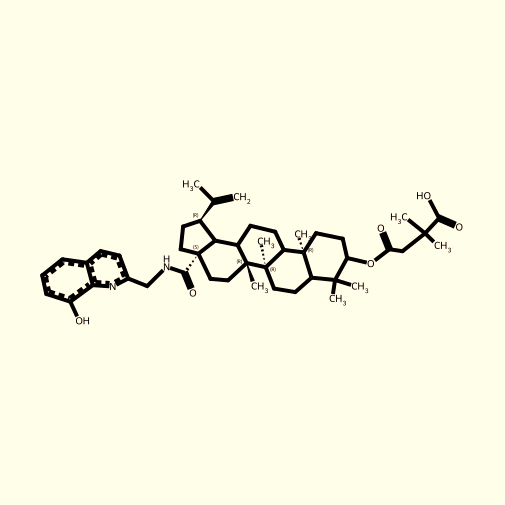 C=C(C)[C@@H]1CC[C@]2(C(=O)NCc3ccc4cccc(O)c4n3)CC[C@]3(C)C(CCC4[C@@]5(C)CCC(OC(=O)CC(C)(C)C(=O)O)C(C)(C)C5CC[C@]43C)C12